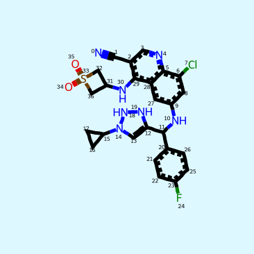 N#Cc1cnc2c(Cl)cc(NC(C3=CN(C4CC4)NN3)c3ccc(F)cc3)cc2c1NC1CS(=O)(=O)C1